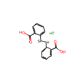 Cl.O=C(O)c1ccccc1[Se][Se]c1ccccc1C(=O)O